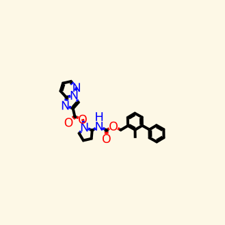 Cc1c(COC(=O)NC2CCCN2OC(=O)c2cn3ncccc3n2)cccc1-c1ccccc1